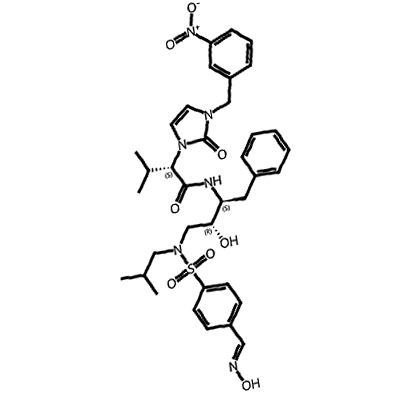 CC(C)CN(C[C@@H](O)[C@H](Cc1ccccc1)NC(=O)[C@H](C(C)C)n1ccn(Cc2cccc([N+](=O)[O-])c2)c1=O)S(=O)(=O)c1ccc(C=NO)cc1